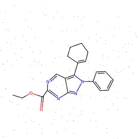 CCOC(=O)c1ncc2c(C3=CCCCC3)n(-c3ccccc3)nc2n1